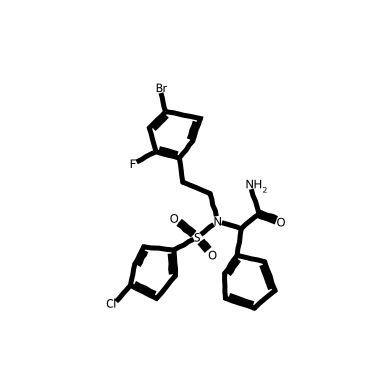 NC(=O)C(c1ccccc1)N(CCc1ccc(Br)cc1F)S(=O)(=O)c1ccc(Cl)cc1